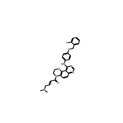 CN(C)C/C=C/C(=O)N1CCOc2c1ccc1ncnc(Nc3ccc(OCc4ccccc4F)cc3)c21